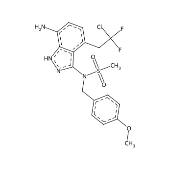 COc1ccc(CN(c2n[nH]c3c(N)ccc(CC(F)(F)Cl)c23)S(C)(=O)=O)cc1